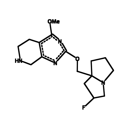 COc1nc(OCC23CCCN2CC(F)C3)nc2c1CCNC2